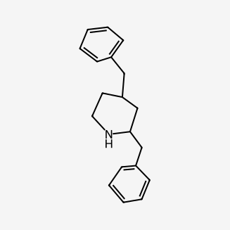 c1ccc(CC2CCNC(Cc3ccccc3)C2)cc1